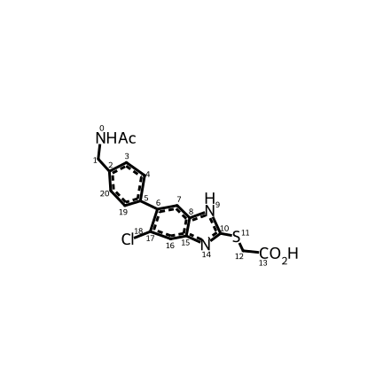 CC(=O)NCc1ccc(-c2cc3[nH]c(SCC(=O)O)nc3cc2Cl)cc1